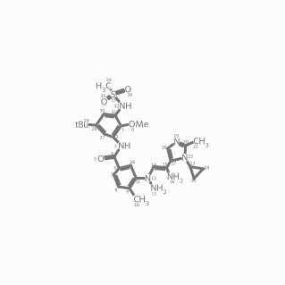 COc1c(NC(=O)c2ccc(C)c(N(N)/C=C(\N)c3cnc(C)n3C3CC3)c2)cc(C(C)(C)C)cc1NS(C)(=O)=O